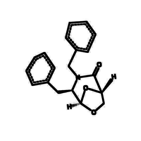 O=C1[C@@H]2CO[C@H](O2)[C@@H](Cc2ccccc2)N1Cc1ccccc1